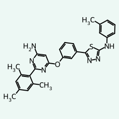 Cc1cccc(Nc2nnc(-c3cccc(Oc4cc(N)nc(-c5c(C)cc(C)cc5C)n4)c3)s2)c1